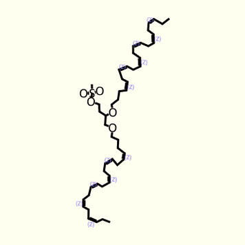 CC/C=C\C/C=C\C/C=C\C/C=C\C/C=C\C/C=C\CCCOCC(CCOS(C)(=O)=O)OCCC/C=C\C/C=C\C/C=C\C/C=C\C/C=C\C/C=C\CC